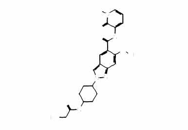 CCC(=O)NC1CCC(n2cc3cc(C(=O)Nc4cccn(C)c4=O)c(OC)cc3n2)CC1